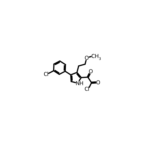 COCCc1c(-c2cccc(Cl)c2)c[nH]c1C(=O)C(=O)Cl